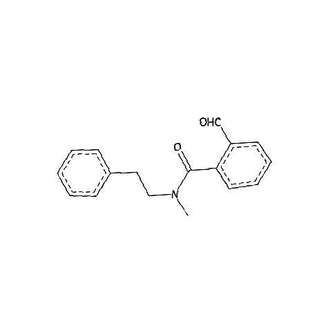 CN(CCc1ccccc1)C(=O)c1ccccc1C=O